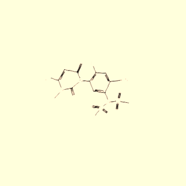 CCS(=O)(=O)N(c1cc(-n2c(=O)cc(C(F)(F)F)n(C)c2=O)c(F)cc1C#N)S(C)(=O)=O